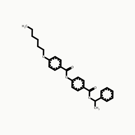 CCCCCCOc1ccc(C(=O)Oc2ccc(C(=O)OC(C)c3ccccc3)cc2)cc1